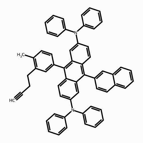 C#CCCc1cc(-c2c3ccc(N(c4ccccc4)c4ccccc4)cc3c(-c3ccc4ccccc4c3)c3ccc(N(c4ccccc4)c4ccccc4)cc23)ccc1C